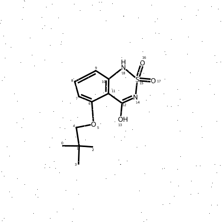 CC(C)(C)COc1cccc2c1C(O)=NS(=O)(=O)N2